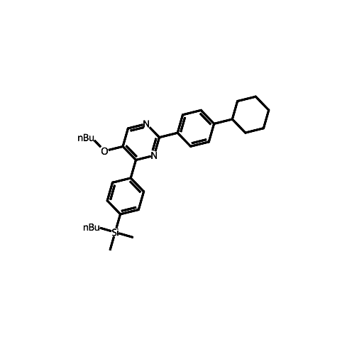 CCCCOc1cnc(-c2ccc(C3CCCCC3)cc2)nc1-c1ccc([Si](C)(C)CCCC)cc1